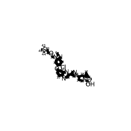 Cc1nc2ccc(Oc3ccc4ncc(-c5cnn(C6CCN(C(=O)O)C7(CC7)C6)c5)nc4c3Cl)cc2n1COCC[Si](C)(C)C